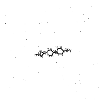 CC(C)C1CCN(C2CCN(C3CN(C)C3)CC2)CC1